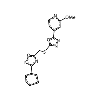 COc1cc(-c2nnc(SCc3nc(-c4ccccc4)no3)o2)ccn1